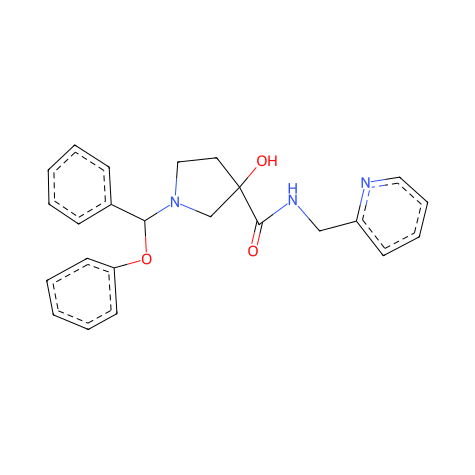 O=C(NCc1ccccn1)C1(O)CCN(C(Oc2ccccc2)c2ccccc2)C1